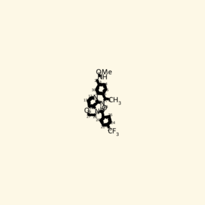 CONCc1ccc(C(C)Nc2nccc3c2N(C(=O)c2ccc(C(F)(F)F)cc2)CCO3)cc1